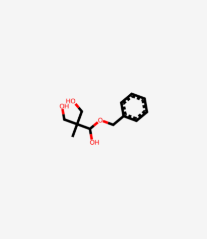 CC(CO)(CO)C(O)OCc1ccccc1